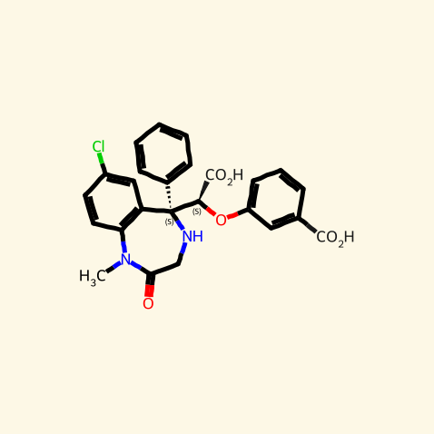 CN1C(=O)CN[C@](c2ccccc2)([C@H](Oc2cccc(C(=O)O)c2)C(=O)O)c2cc(Cl)ccc21